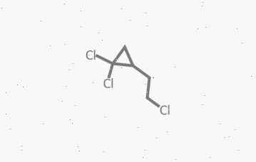 ClC[CH]C1CC1(Cl)Cl